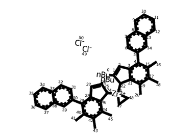 CCCCC1=Cc2c(-c3ccc4ccccc4c3)c(C)c(C)c(C)c2[CH]1[Zr+2]1([CH]2C(CCCC)=Cc3c(-c4ccc5ccccc5c4)c(C)c(C)c(C)c32)[CH2][CH2]1.[Cl-].[Cl-]